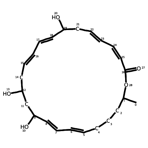 CC1CCC/C=C/C=C/C(O)CC(O)C/C=C/C=C/C(O)C/C=C/C=C\C(=O)O1